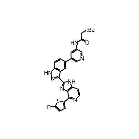 CC(C)(C)CC(=O)Nc1cncc(-c2ccc3[nH]nc(-c4nc5c(-c6ccc(F)s6)nccc5[nH]4)c3c2)c1